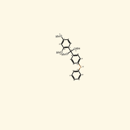 COc1ccc(C(OC)(OC)c2ccc(Sc3ccccc3)cc2)c(OC)c1